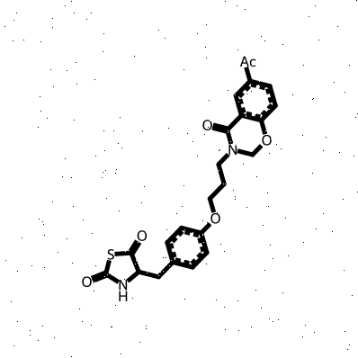 CC(=O)c1ccc2c(c1)C(=O)N(CCCOc1ccc(CC3NC(=O)SC3=O)cc1)CO2